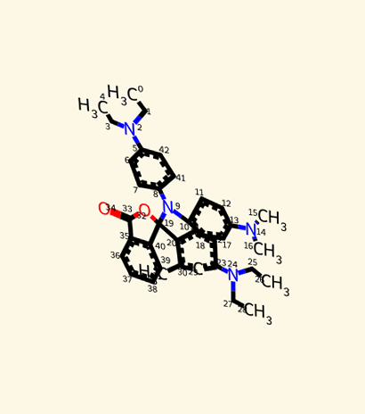 CCN(CC)c1ccc(N(c2ccc(N(C)C)cc2)C2(c3ccc(N(CC)CC)cc3C)OC(=O)c3ccccc32)cc1